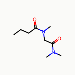 CCCC(=O)N(C)CC(=O)N(C)C